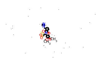 CCOc1cc(C(CC[SH](=O)=O)N2C(=O)c3cccc(Cn4ccnc4)c3C2=O)ccc1OC